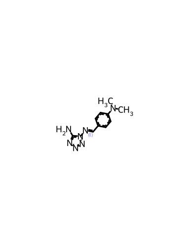 CN(C)c1ccc(/C=N/n2nnnc2N)cc1